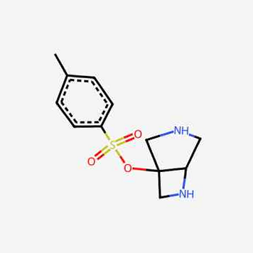 Cc1ccc(S(=O)(=O)OC23CNCC2NC3)cc1